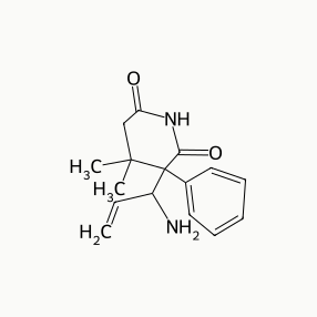 C=CC(N)C1(c2ccccc2)C(=O)NC(=O)CC1(C)C